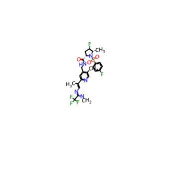 C=N/C(=N\C=C(/C)c1cc(CNC(=O)[C@@H]2C[C@@H](F)[C@H](C)N2S(=O)(=O)c2ccc(F)cc2)c(C)cn1)C(F)(F)F